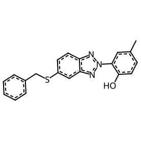 Cc1ccc(O)c(-n2nc3ccc(SCc4ccccc4)cc3n2)c1